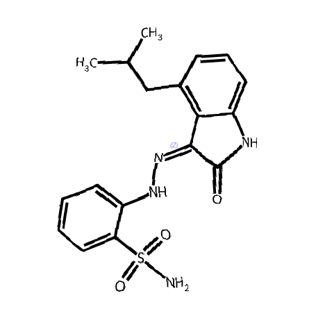 CC(C)Cc1cccc2c1/C(=N/Nc1ccccc1S(N)(=O)=O)C(=O)N2